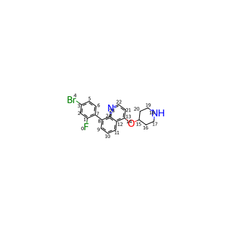 Fc1cc(Br)ccc1-c1cccc2c(OC3CCNCC3)ccnc12